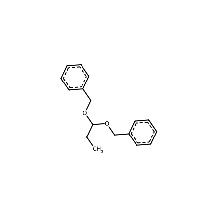 CC[C](OCc1ccccc1)OCc1ccccc1